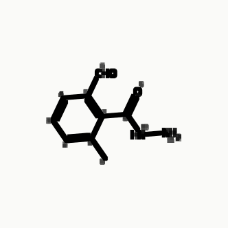 Cc1cccc(C=O)c1C(=O)NN